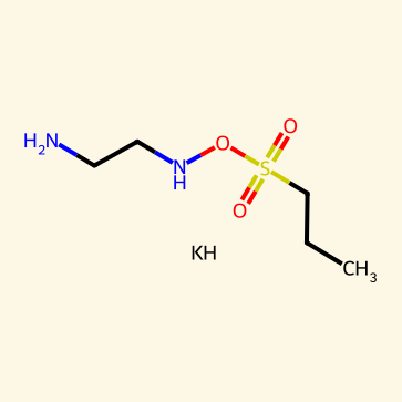 CCCS(=O)(=O)ONCCN.[KH]